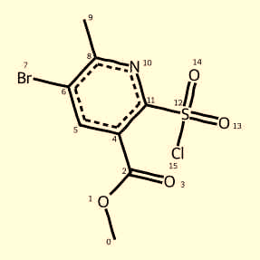 COC(=O)c1cc(Br)c(C)nc1S(=O)(=O)Cl